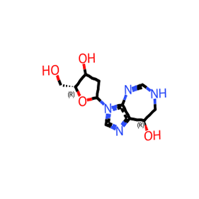 OC[C@H]1OC(n2cnc3c2N=CNC[C@H]3O)CC1O